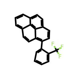 FC(F)(F)c1ccccc1-c1ccc2ccc3cccc4ccc1c2c34